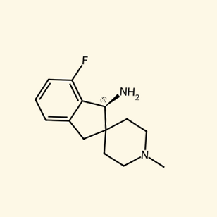 CN1CCC2(CC1)Cc1cccc(F)c1[C@H]2N